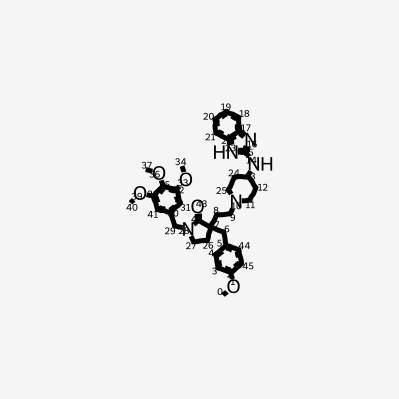 COc1ccc(CC2(CCN3CCC(Nc4nc5ccccc5[nH]4)CC3)CCN(Cc3cc(OC)c(OC)c(OC)c3)C2=O)cc1